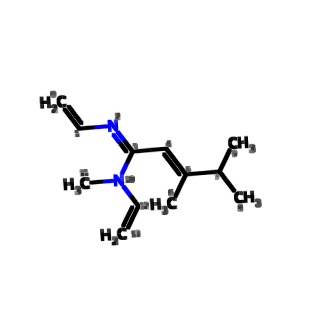 C=C/N=C(/C=C(\C)C(C)C)N(C)C=C